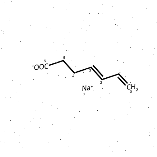 C=CC=CCCC(=O)[O-].[Na+]